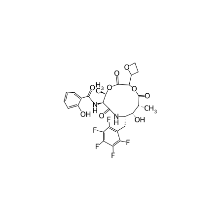 C[C@H]1OC(=O)C(C2CCO2)OC(=O)[C@H](C)[C@H](O)[C@H](Cc2c(F)c(F)c(F)c(F)c2F)NC(=O)[C@H]1NC(=O)c1ccccc1O